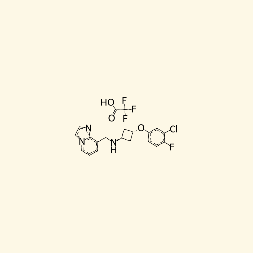 Fc1ccc(O[C@H]2C[C@H](NCc3cccn4ccnc34)C2)cc1Cl.O=C(O)C(F)(F)F